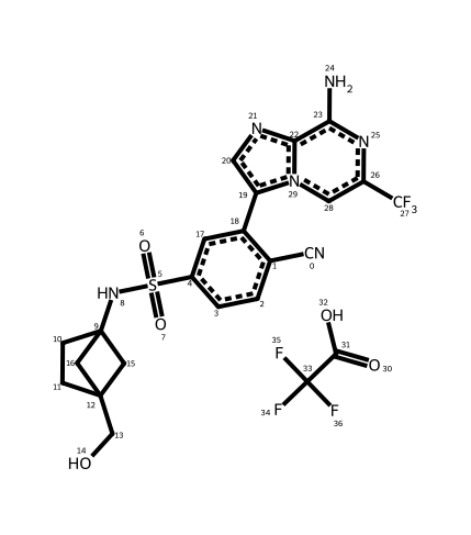 N#Cc1ccc(S(=O)(=O)NC23CCC(CO)(C2)C3)cc1-c1cnc2c(N)nc(C(F)(F)F)cn12.O=C(O)C(F)(F)F